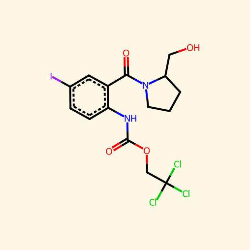 O=C(Nc1ccc(I)cc1C(=O)N1CCCC1CO)OCC(Cl)(Cl)Cl